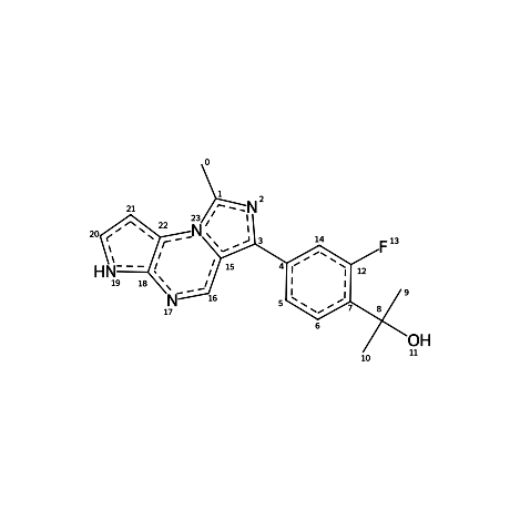 Cc1nc(-c2ccc(C(C)(C)O)c(F)c2)c2cnc3[nH]ccc3n12